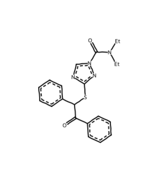 CCN(CC)C(=O)n1cnc(SC(C(=O)c2ccccc2)c2ccccc2)n1